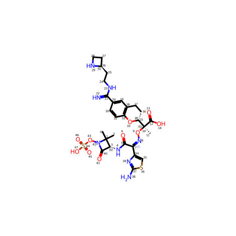 CC1(C)[C@H](NC(=O)/C(=N\O[C@](C)(C(=O)O)[C@H]2CCc3cc(C(=N)NCC[C@@H]4CCN4)ccc3O2)c2csc(N)n2)C(=O)N1OS(=O)(=O)O